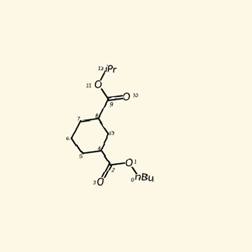 CCCCOC(=O)C1CCCC(C(=O)OC(C)C)C1